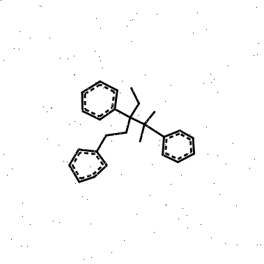 CCC(CCc1ccccc1)(c1ccccc1)C(C)(C)c1ccccc1